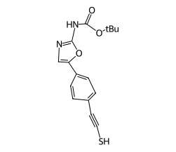 CC(C)(C)OC(=O)Nc1ncc(-c2ccc(C#CS)cc2)o1